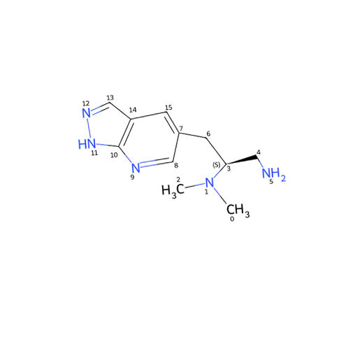 CN(C)[C@H](CN)Cc1cnc2[nH]ncc2c1